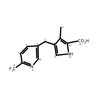 Cc1c(Cc2ccc(C(F)(F)F)nc2)c[nH]c1C(=O)O